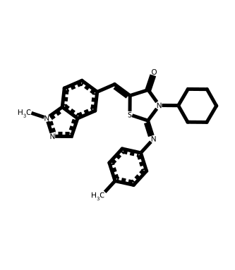 Cc1ccc(N=C2SC(=Cc3ccc4c(cnn4C)c3)C(=O)N2C2CCCCC2)cc1